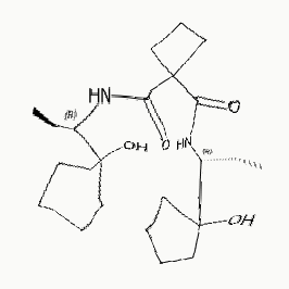 C[C@@H](NC(=O)C1(C(=O)N[C@H](C)C2(O)CCCC2)CCC1)C1(O)CCCC1